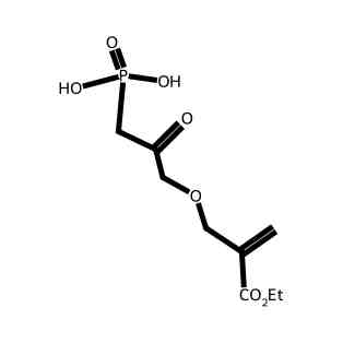 C=C(COCC(=O)CP(=O)(O)O)C(=O)OCC